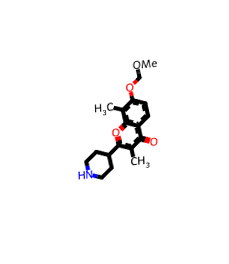 COCOc1ccc2c(=O)c(C)c(C3CCNCC3)oc2c1C